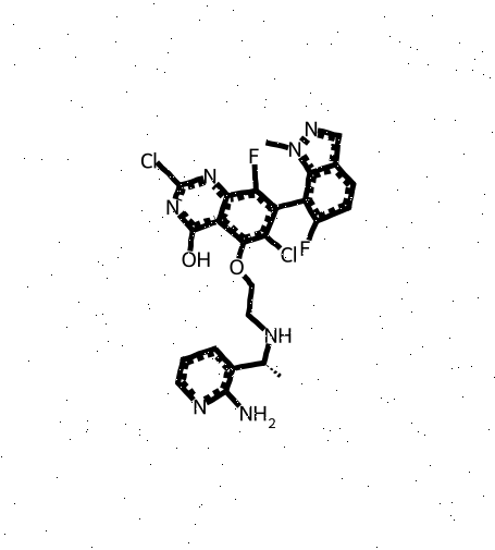 C[C@@H](NCCOc1c(Cl)c(-c2c(F)ccc3cnn(C)c23)c(F)c2nc(Cl)nc(O)c12)c1cccnc1N